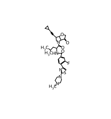 CC(C)CC(NC(=O)c1ccc(-c2csc(N3CCN(C)CC3)n2)c(F)c1)C(=O)N1CC(C#CC2CC2)C2OCC(=O)C21